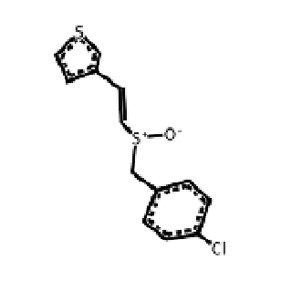 [O-][S+](C=Cc1ccsc1)Cc1ccc(Cl)cc1